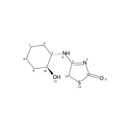 O=C1N=C(N[C@H]2CCCC[C@@H]2O)CS1